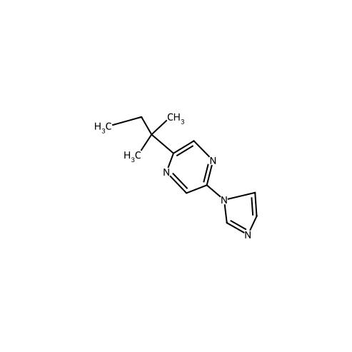 CCC(C)(C)c1cnc(-n2ccnc2)cn1